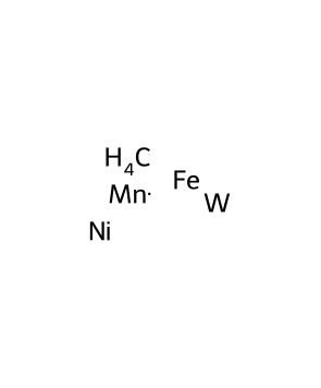 C.[Fe].[Mn].[Ni].[W]